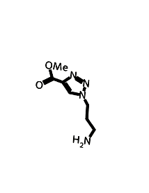 COC(=O)c1cn(CCCN)nn1